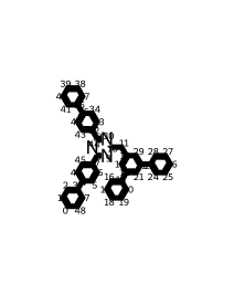 c1ccc(-c2ccc(-c3nc(Cc4cc(-c5ccccc5)cc(-c5ccccc5)c4)nc(-c4ccc(-c5ccccc5)cc4)n3)cc2)cc1